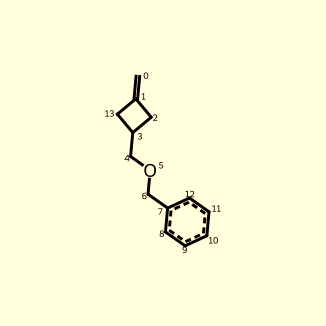 C=C1CC(COCc2ccccc2)C1